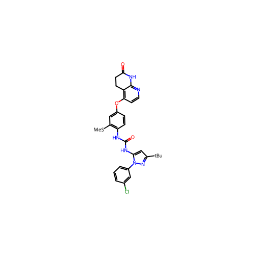 CSc1cc(Oc2ccnc3c2CCC(=O)N3)ccc1NC(=O)Nc1cc(C(C)(C)C)nn1-c1cccc(Cl)c1